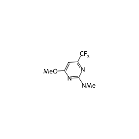 CNc1nc(OC)cc(C(F)(F)F)n1